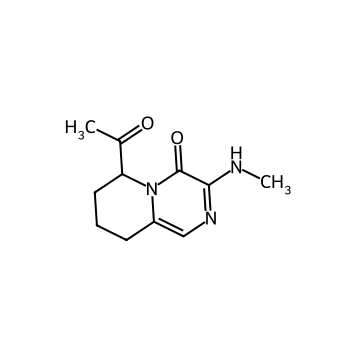 CNc1ncc2n(c1=O)C(C(C)=O)CCC2